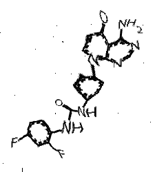 Nc1ncnc2c1c(=O)ccn2-c1ccc(NC(=O)Nc2ccc(F)cc2F)cc1